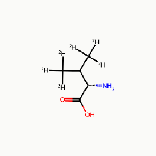 [2H]C([2H])([2H])C([C@H](N)C(=O)O)C([2H])([2H])[2H]